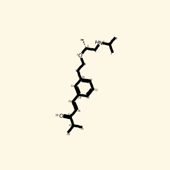 CC(C)NC[C@@H](C)OCCc1cccc(/C=C/C(=O)C(C)C)c1